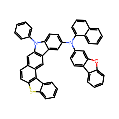 c1ccc(-n2c3ccc(N(c4ccc5c(c4)oc4ccccc45)c4cccc5ccccc45)cc3c3cc4c(ccc5sc6ccccc6c54)cc32)cc1